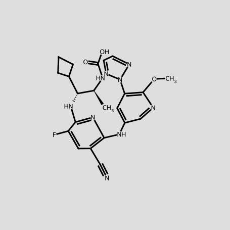 COc1ncc(Nc2nc(N[C@H](C3CCC3)[C@H](C)NC(=O)O)c(F)cc2C#N)cc1-n1nccn1